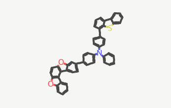 c1ccc(N(c2ccc(-c3ccc4c(c3)oc3ccc5oc6ccccc6c5c34)cc2)c2ccc(-c3cccc4c3sc3ccccc34)cc2)cc1